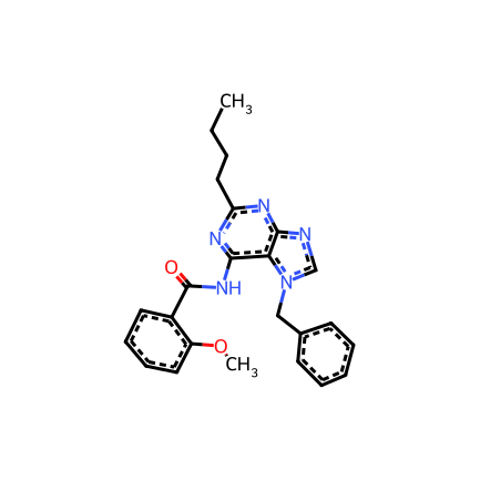 CCCCc1nc(NC(=O)c2ccccc2OC)c2c(ncn2Cc2ccccc2)n1